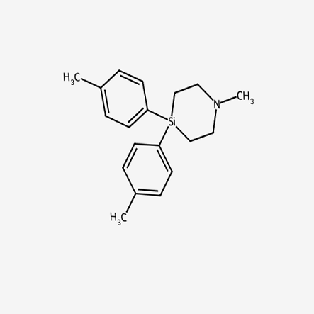 Cc1ccc([Si]2(c3ccc(C)cc3)CCN(C)CC2)cc1